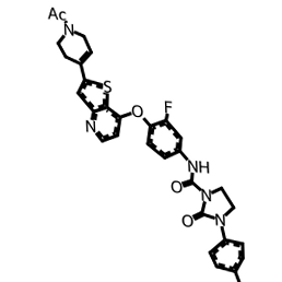 CC(=O)N1CC=C(c2cc3nccc(Oc4ccc(NC(=O)N5CCN(c6ccc(F)cc6)C5=O)cc4F)c3s2)CC1